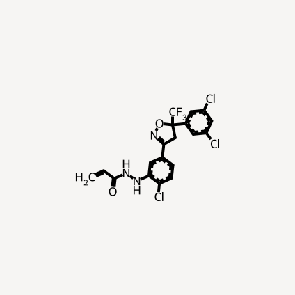 C=CC(=O)NNc1cc(C2=NOC(c3cc(Cl)cc(Cl)c3)(C(F)(F)F)C2)ccc1Cl